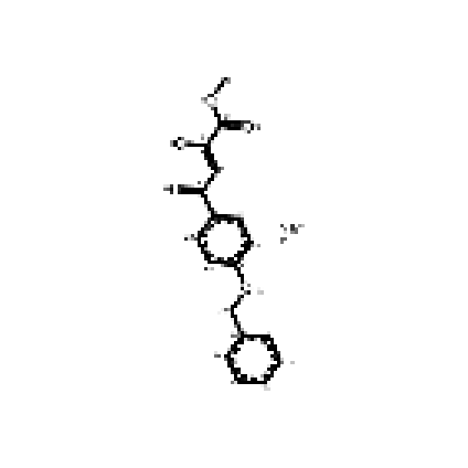 COC(=O)/C([O-])=C/C(=O)c1ccc(OCc2ccccc2)cc1.[Na+]